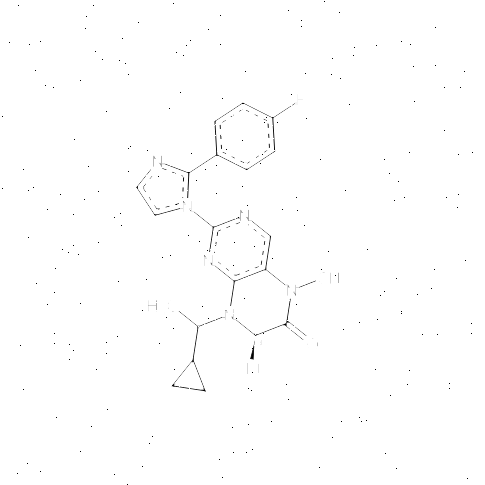 CC[C@@H]1C(=O)N(C)c2cnc(-n3ccnc3-c3ccc(F)cc3)nc2N1C(C)C1CC1